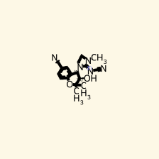 CN1CCN([C@H]2c3cc(C#N)ccc3OC(C)(C)[C@@H]2O)/C1=N/C#N